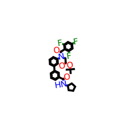 CC(C)(C)OC(=O)CN(C(=O)c1c(F)cc(F)cc1F)c1cccc(-c2cccc(C(=O)NC3CCCC3)c2)c1